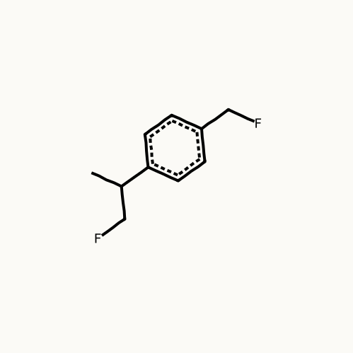 CC(CF)c1ccc(CF)cc1